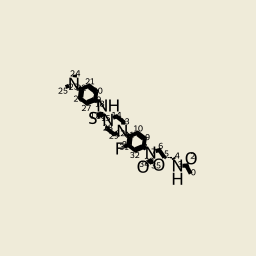 CC(=O)NC[C@H]1CN(c2ccc(N3CCN(C(=S)Nc4ccc(N(C)C)cc4)CC3)c(F)c2)C(=O)O1